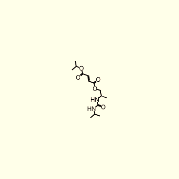 CC(C)NC(=O)N[C@H](C)COC(=O)/C=C/C(=O)OC(C)C